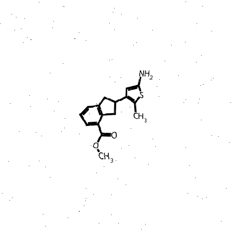 COC(=O)c1cccc2c1CC(c1cc(N)sc1C)C2